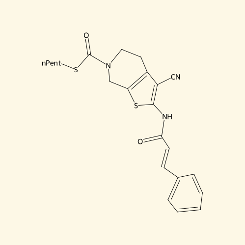 CCCCCSC(=O)N1CCc2c(sc(NC(=O)/C=C/c3ccccc3)c2C#N)C1